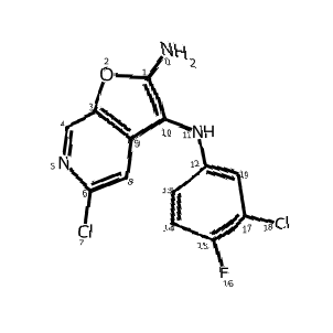 Nc1oc2cnc(Cl)cc2c1Nc1ccc(F)c(Cl)c1